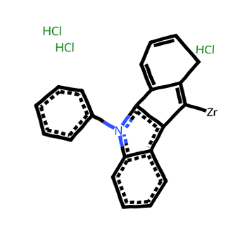 Cl.Cl.Cl.[Zr][C]1=C2CC=CC=C2c2c1c1ccccc1n2-c1ccccc1